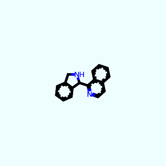 c1ccc2c(c1)CN[C]2c1nccc2ccccc12